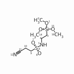 CO[Si](CCNS(=O)(=O)CCC#N)(OC)OC